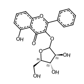 O=c1c(OC2O[C@H](CO)[C@@H](O)[C@@H]2O)c(-c2ccccc2)oc2cccc(O)c12